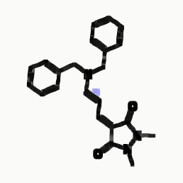 CN1C(=O)C(=C/C=C/N(Cc2ccccc2)Cc2ccccc2)C(=O)N1C